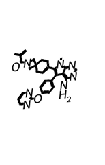 C=C(C)C(=O)N1CC2(CC=C(c3c(-c4ccc(Oc5ncccn5)cc4)c4c(N)ncnc4n3C)CC2)C1